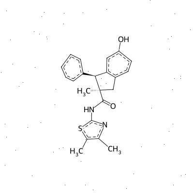 Cc1nc(NC(=O)[C@]2(C)Cc3ccc(O)cc3[C@@H]2c2ccccc2)sc1C